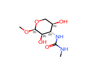 CNC(=O)N[C@@H]1[C@@H](O)[C@@H](OC)OC[C@H]1O